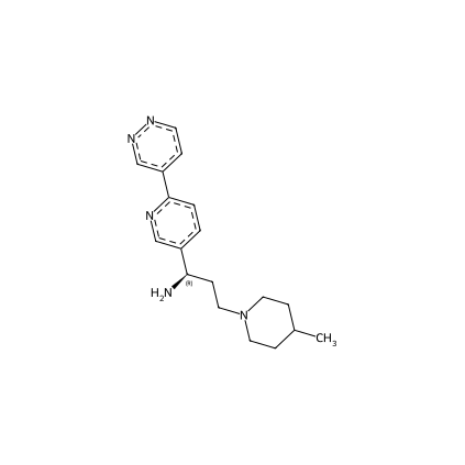 CC1CCN(CC[C@@H](N)c2ccc(-c3ccnnc3)nc2)CC1